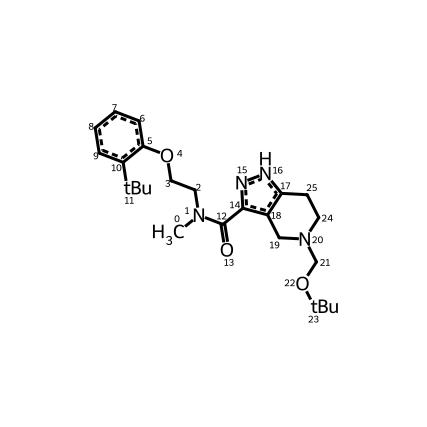 CN(CCOc1ccccc1C(C)(C)C)C(=O)c1n[nH]c2c1CN(COC(C)(C)C)CC2